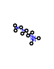 c1ccc(-c2nc(-c3ccccc3)nc(-n3c4ccccc4c4c(-c5cccc6c5c5ccccc5n6-c5cccc(-n6c7ccccc7c7ccccc76)c5)cccc43)n2)cc1